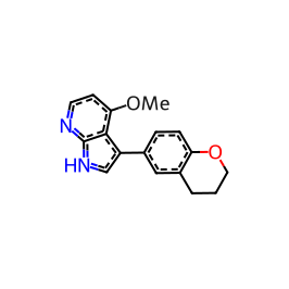 COc1ccnc2[nH]cc(-c3ccc4c(c3)CCCO4)c12